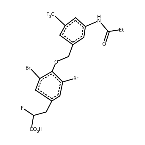 CCC(=O)Nc1cc(COc2c(Br)cc(CC(F)C(=O)O)cc2Br)cc(C(F)(F)F)c1